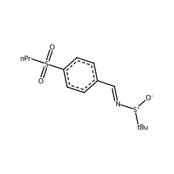 CCCS(=O)(=O)c1ccc(C=N[S+]([O-])C(C)(C)C)cc1